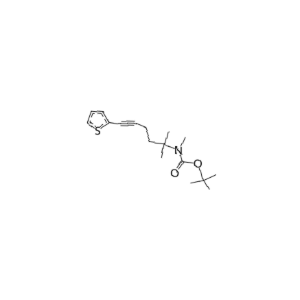 CN(C(=O)OC(C)(C)C)C(C)(C)CCC#Cc1cccs1